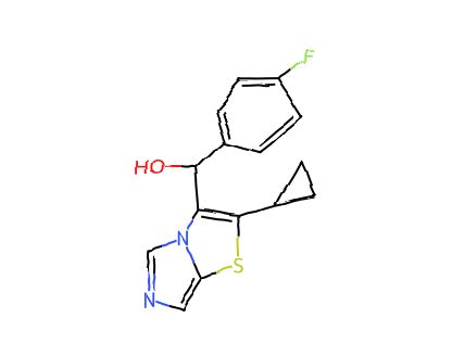 OC(c1ccc(F)cc1)c1c(C2CC2)sc2cncn12